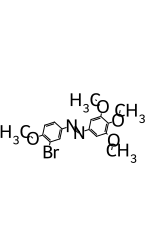 COc1ccc(N=Nc2cc(OC)c(OC)c(OC)c2)cc1Br